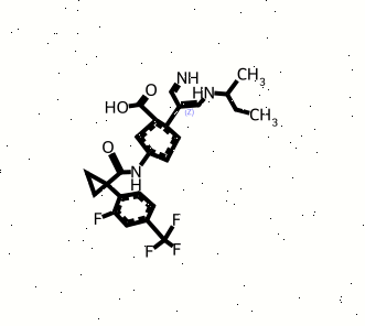 CCC(C)N/C=C(\C=N)c1ccc(NC(=O)C2(c3ccc(C(F)(F)F)cc3F)CC2)cc1C(=O)O